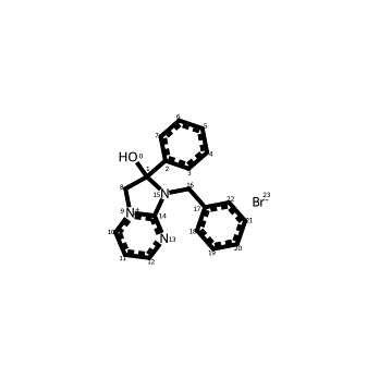 OC1(c2ccccc2)C[n+]2cccnc2N1Cc1ccccc1.[Br-]